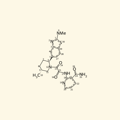 CNc1nc2cc([C@@H]3CC[C@@H](C)CN3C(=O)C(=O)Nc3ncccc3C(N)=O)ccc2s1